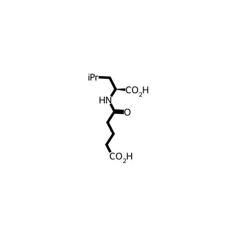 CC(C)C[C@H](NC(=O)CCCC(=O)O)C(=O)O